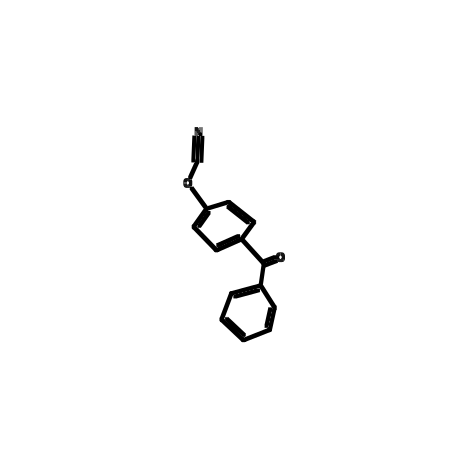 N#COc1ccc(C(=O)c2ccccc2)cc1